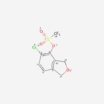 O=S(=O)(Oc1c(Cl)ccc2c1COC2)C(F)(F)F